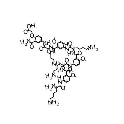 C=C(N[C@@H](CCCCN)C(=O)Nc1ccc(OCC(=O)O)c(C(N)=O)c1)c1cc(NC(=O)[C@H](CCCCN)NC(=O)c2cc(NC(=O)[C@H](CCCCN)NC(=O)c3cc(NC(=O)[C@@H](N)CCCCN)ccc3OC)ccc2OC)ccc1OC